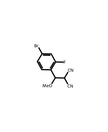 COC(c1ccc(Br)cc1F)C(C#N)C#N